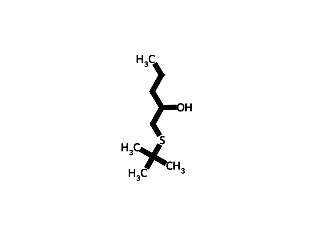 C[CH]CC(O)CSC(C)(C)C